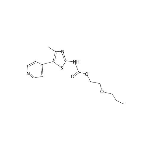 CCCOCCOC(=O)Nc1nc(C)c(-c2ccncc2)s1